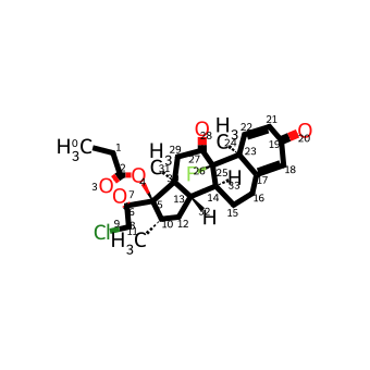 CCC(=O)O[C@]1(C(=O)CCl)[C@@H](C)C[C@H]2[C@@H]3CCC4=CC(=O)C=C[C@]4(C)[C@@]3(F)C(=O)C[C@@]21C